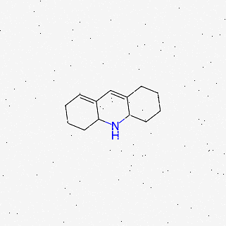 C1=C2C=C3CCCCC3NC2CCC1